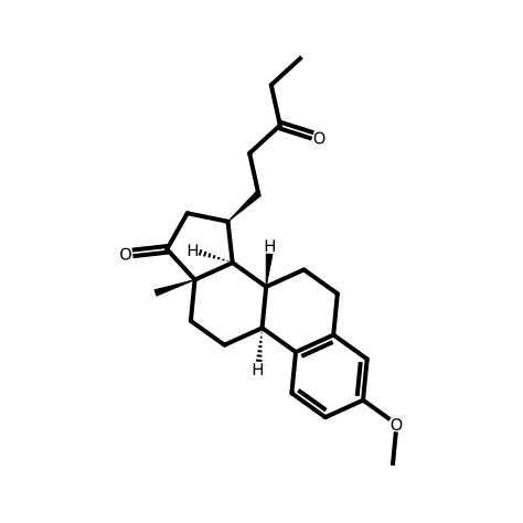 CCC(=O)CC[C@@H]1CC(=O)[C@@]2(C)CC[C@@H]3c4ccc(OC)cc4CC[C@H]3[C@H]12